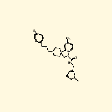 O=C(NCc1ccnc(F)c1)N1CC2(CCN(C/C=C/c3ccc(Cl)cc3)CC2)c2cc(C(F)(F)F)ccc21